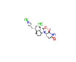 Cl.O=C1CCC(N2C(=O)c3ccc(CC4CN(Cl)C4)c4cccc2c34)C(=O)N1